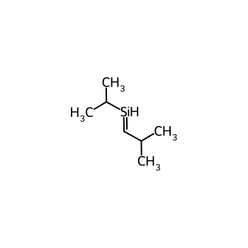 CC(C)/C=[SiH]/C(C)C